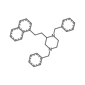 c1ccc(CN2CCN(Cc3ccccc3)C(CCc3cccc4ccccc34)C2)cc1